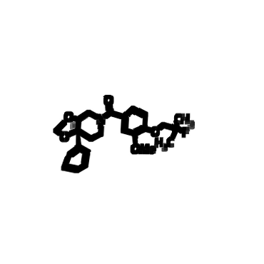 COc1cc(C(=O)N2CC[C@]3(c4ccccc4)OCOC3C2)ccc1OCC(C)(C)F